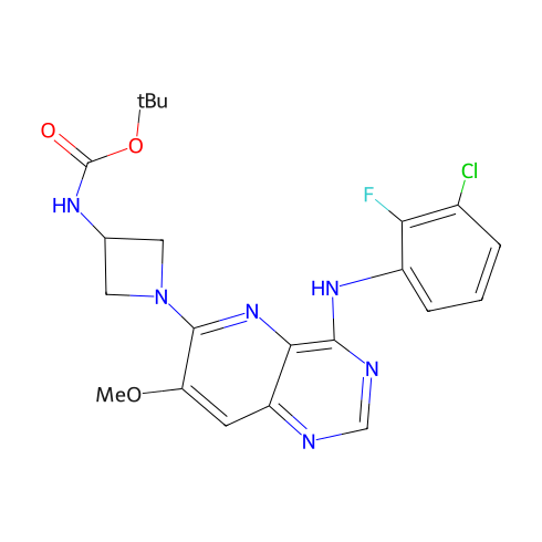 COc1cc2ncnc(Nc3cccc(Cl)c3F)c2nc1N1CC(NC(=O)OC(C)(C)C)C1